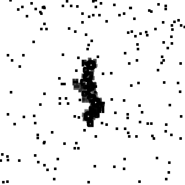 Cc1cc(Oc2ccccc2F)ncc1-n1ncc(C(=O)c2cc3cc(F)c(NS(=O)(=O)c4cccc(Cl)c4)cc3[nH]2)c1N